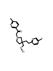 CCOCC1(CCc2ccc(F)cn2)CCN(CC(=O)c2ccc(C)nc2)C1